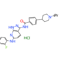 CC(C)N1CCC(c2ccc(C(=O)Nc3n[nH]c4nc(Nc5ccccc5F)ccc34)cc2)CC1.Cl